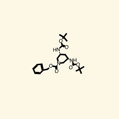 CC(C)(C)OC(=O)N[C@@H]1C[C@H](NC(=O)OC(C)(C)C)CN(C(=O)OCc2ccccc2)C1